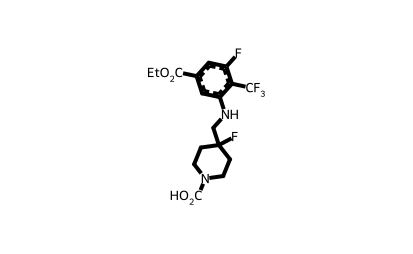 CCOC(=O)c1cc(F)c(C(F)(F)F)c(NCC2(F)CCN(C(=O)O)CC2)c1